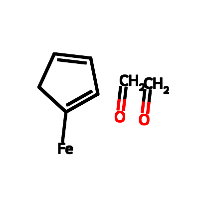 C=O.C=O.[Fe][C]1=CC=CC1